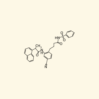 CC(C(=O)Nc1cc(C#N)ccc1CCCC(=O)NS(=O)(=O)c1ccccc1)c1cccc2ccccc12